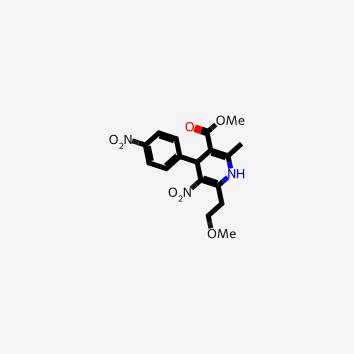 COCCC1=C([N+](=O)[O-])C(c2ccc([N+](=O)[O-])cc2)C(C(=O)OC)=C(C)N1